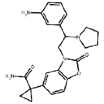 NC(=O)C1(c2ccc3oc(=O)n(CC(c4cccc(N)c4)N4CCCC4)c3c2)CC1